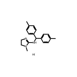 Cc1ccc(C(NC2=NCCN2C)c2ccc(C)cc2)cc1.I